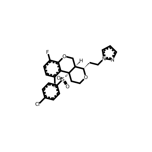 O=S(=O)(c1ccc(Cl)cc1)[C@@]12CCO[C@@H](CCn3cccn3)[C@@H]1COc1c(F)ccc(F)c12